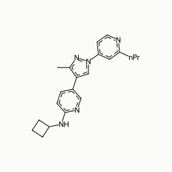 CCCc1cc(-n2cc(-c3ccc(NC4CCC4)nc3)c(C)n2)ccn1